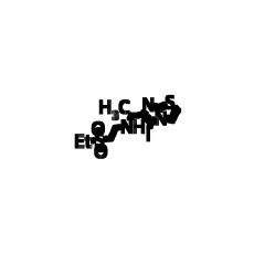 CCS(=O)(=O)CCN[C@H](C)c1nc2sccn2c1I